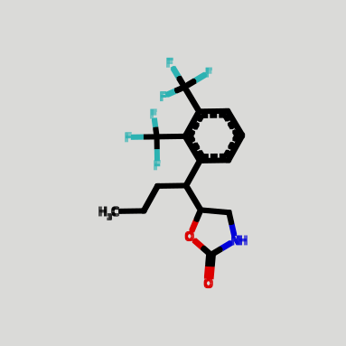 CCCC(c1cccc(C(F)(F)F)c1C(F)(F)F)C1CNC(=O)O1